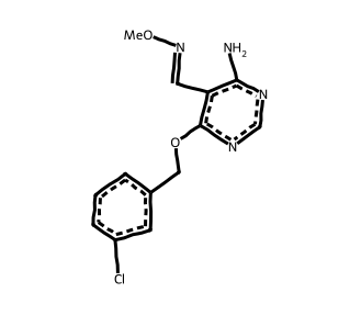 CON=Cc1c(N)ncnc1OCc1cccc(Cl)c1